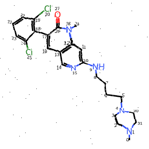 CN1CCN(CCCCNc2cc3c(cn2)cc(-c2c(Cl)cccc2Cl)c(=O)n3C)CC1